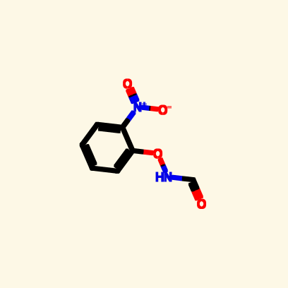 O=CNOc1ccccc1[N+](=O)[O-]